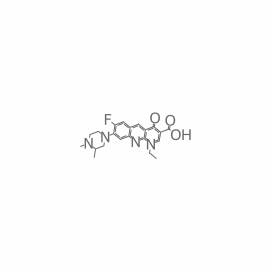 CCn1cc(C(=O)O)c(=O)c2cc3cc(F)c(N4CCN(C)C(C)C4)cc3nc21